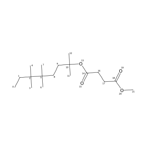 CCC(C)(C)C(C)(C)CCC(C)(C)OC(=O)CCC(=O)OC